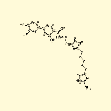 Nc1nc(CCCCCc2cn(CCNC(=O)c3ccc(-c4ccc(F)c(F)c4)cc3O)nn2)c[nH]1